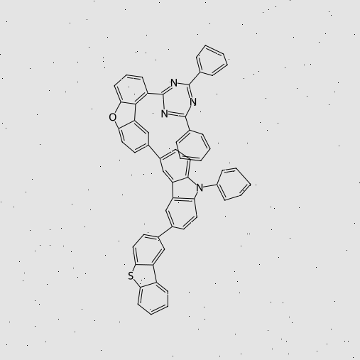 c1ccc(-c2nc(-c3ccccc3)nc(-c3cccc4oc5ccc(-c6ccc7c(c6)c6cc(-c8ccc9sc%10ccccc%10c9c8)ccc6n7-c6ccccc6)cc5c34)n2)cc1